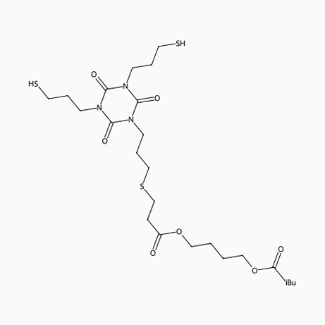 CCC(C)C(=O)OCCCCOC(=O)CCSCCCn1c(=O)n(CCCS)c(=O)n(CCCS)c1=O